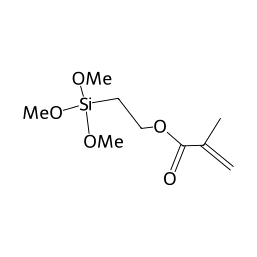 C=C(C)C(=O)OCC[Si](OC)(OC)OC